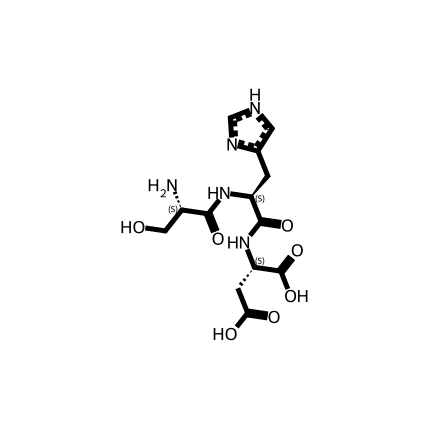 N[C@@H](CO)C(=O)N[C@@H](Cc1c[nH]cn1)C(=O)N[C@@H](CC(=O)O)C(=O)O